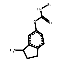 CCNC(=O)Oc1ccc2c(c1)C(N)CC2